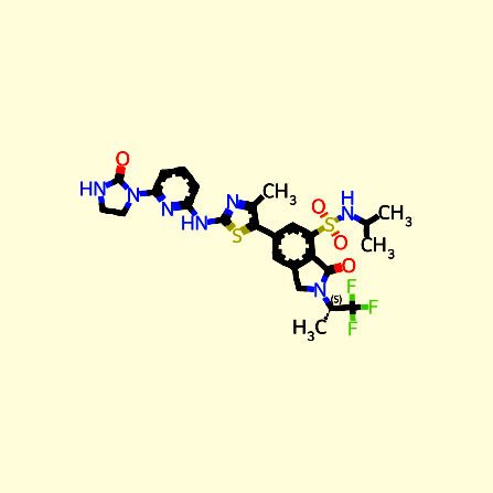 Cc1nc(Nc2cccc(N3CCNC3=O)n2)sc1-c1cc2c(c(S(=O)(=O)NC(C)C)c1)C(=O)N([C@@H](C)C(F)(F)F)C2